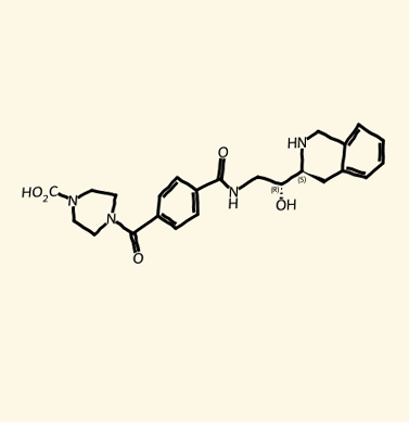 O=C(NC[C@@H](O)[C@@H]1Cc2ccccc2CN1)c1ccc(C(=O)N2CCN(C(=O)O)CC2)cc1